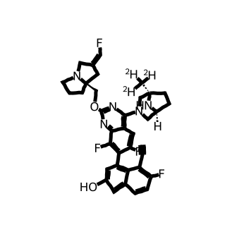 [2H]C([2H])([2H])[C@@]12CC[C@@H](CN(c3nc(OC[C@@]45CCCN4C/C(=C\F)C5)nc4c(F)c(-c5cc(O)cc6ccc(F)c(C#C)c56)c(F)cc34)C1)N2